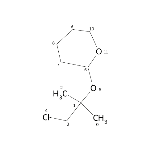 CC(C)(CCl)OC1CCCCO1